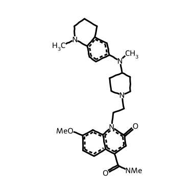 CNC(=O)c1cc(=O)n(CCN2CCC(N(C)c3ccc4c(c3)CCCN4C)CC2)c2cc(OC)ccc12